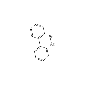 CC(=O)Br.c1ccc(-c2ccccc2)cc1